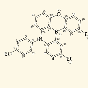 CCc1ccc(N2c3ccc(CC)cc3B3c4cc(CC)ccc4Oc4cccc2c43)cc1